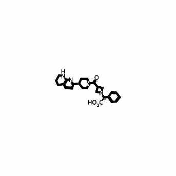 O=C(O)[C@H](c1ccccc1)N1CC(C(=O)N2CCC(c3ccc4c(n3)NCCC4)CC2)C1